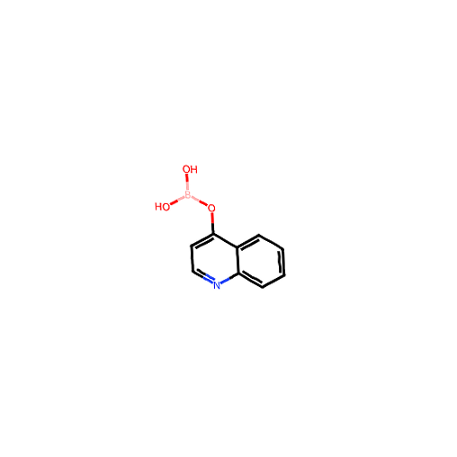 OB(O)Oc1ccnc2ccccc12